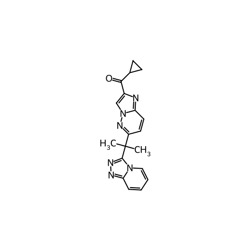 CC(C)(c1ccc2nc(C(=O)C3CC3)cn2n1)c1nnc2ccccn12